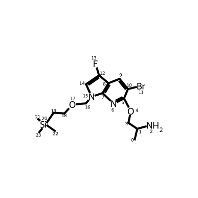 CC(N)COc1nc2c(cc1Br)c(F)cn2COCC[Si](C)(C)C